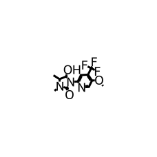 COc1cnc(N2C(=O)N(C)C(C)C2O)cc1C(F)(F)F